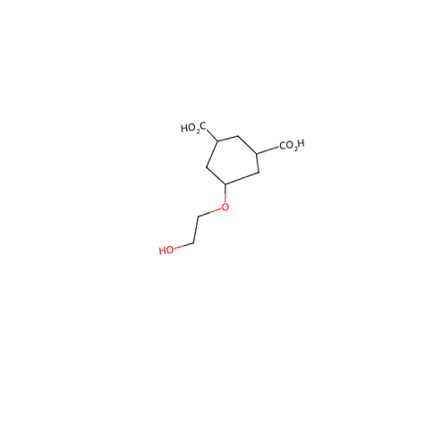 O=C(O)C1CC(OCCO)CC(C(=O)O)C1